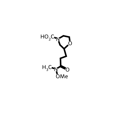 CON(C)C(=O)CCC1CN(C(=O)O)CCO1